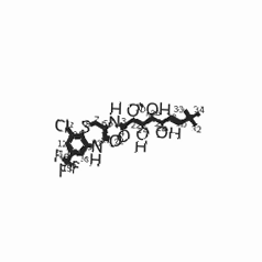 CO[C@@H](C(=O)NC1CSc2c(Cl)cc(C(F)(F)F)cc2NC1=O)[C@H](O)[C@@H](O)[C@H](O)/C=C/C(C)(C)C